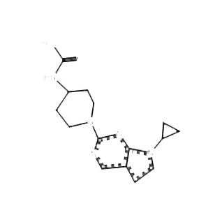 O=C(O)NC1CCN(c2ncc3ccn(C4CC4)c3n2)CC1